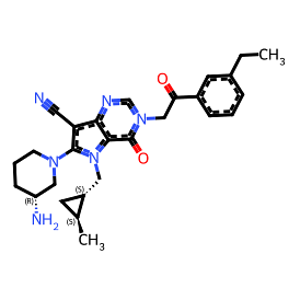 CCc1cccc(C(=O)Cn2cnc3c(C#N)c(N4CCC[C@@H](N)C4)n(C[C@H]4C[C@@H]4C)c3c2=O)c1